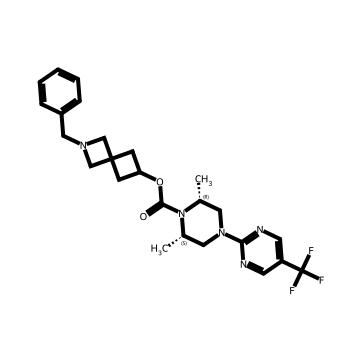 C[C@@H]1CN(c2ncc(C(F)(F)F)cn2)C[C@H](C)N1C(=O)OC1CC2(C1)CN(Cc1ccccc1)C2